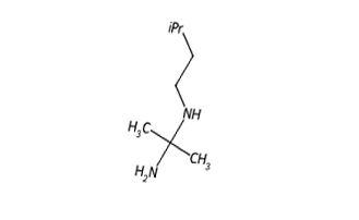 CC(C)CCNC(C)(C)N